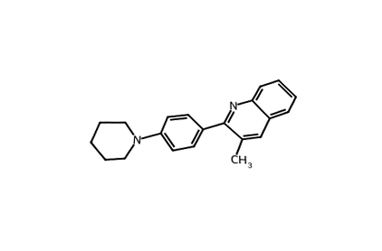 Cc1cc2ccccc2nc1-c1ccc(N2CCCCC2)cc1